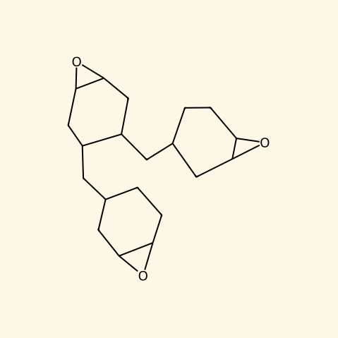 C1CC2OC2CC1CC1CC2OC2CC1CC1CCC2OC2C1